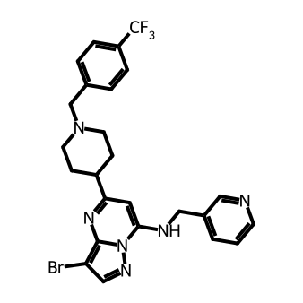 FC(F)(F)c1ccc(CN2CCC(c3cc(NCc4cccnc4)n4ncc(Br)c4n3)CC2)cc1